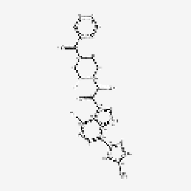 C[C@@H]1CN(C(=O)c2ccccc2)CCN1C(=O)C(=O)c1c[nH]c2c(-c3noc(C(F)(F)F)n3)ccc(F)c12